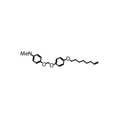 C=CCCCCCCOc1ccc(OCOc2ccc(NC)cc2)cc1